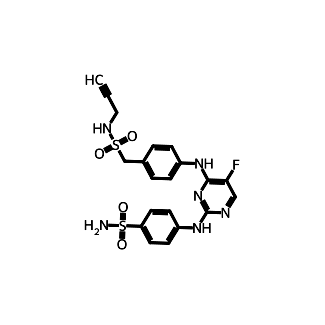 C#CCNS(=O)(=O)Cc1ccc(Nc2nc(Nc3ccc(S(N)(=O)=O)cc3)ncc2F)cc1